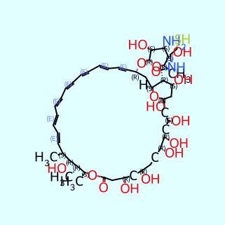 C[C@@H]1[C@H](O)[C@@H](C)/C=C/C=C/C=C/C=C/C=C/C=C/C=C/[C@H](O[C@@H]2O[C@H](C)[C@@H](O)[C@H](N)[C@@H]2O)C[C@@H]2O[C@](O)(C[C@@H](O)C[C@@H](O)[C@H](O)CC[C@@H](O)C[C@@H](O)CC(=O)O[C@H]1C)C[C@H](O)[C@H]2C(=O)NCCS